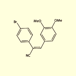 COc1ccc(C=C(C#N)c2ccc(Br)cc2)cc1OC